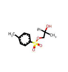 Cc1ccc(S(=O)(=O)OCC(C)(O)C(C)C)cc1